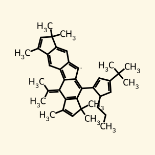 CCCC1C=C(C(C)(C)C)C=C1c1c2c(c(=C(C)C)c3c1[C]=c1cc4c(cc1=3)C(C)=CC4(C)C)C(C)=CC2(C)C